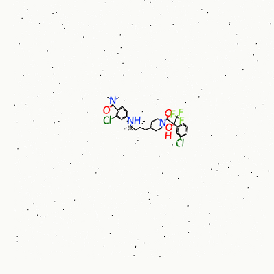 C[C@@H](CCCC1CCN(C(=O)C(O)(c2cccc(Cl)c2)C(F)(F)F)CC1)Nc1ccc(C(=O)N(C)C)c(Cl)c1